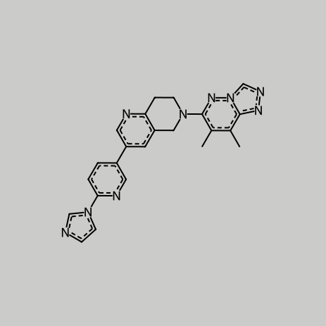 Cc1c(N2CCc3ncc(-c4ccc(-n5ccnc5)nc4)cc3C2)nn2cnnc2c1C